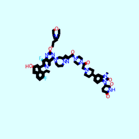 CCc1c(F)ccc2cc(O)cc(-c3ncc4c(N5CCCn6nc(C(=O)N7CCN(C(=O)CN8CCC(c9ccc%10c(c9)n(C)c(=O)n%10C9CCC(=O)NC9=O)CC8)CC7)cc6C5)nc(OCCCN5C6CCC5COC6)nc4c3F)c12